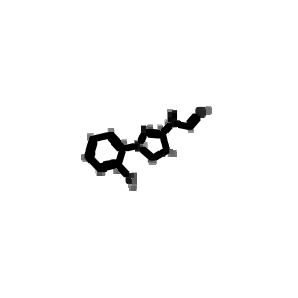 O=CNC1=NN(c2ccccc2Cl)CC1